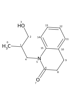 CC(CO)CN1C(=O)CCc2ccccc21